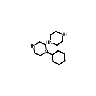 C1CCC(N2CCNCC2)CC1.C1CNCCN1